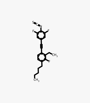 CCCCCc1ccc(C#Cc2cc(F)c(N=C=S)c(F)c2)c(CC)c1F